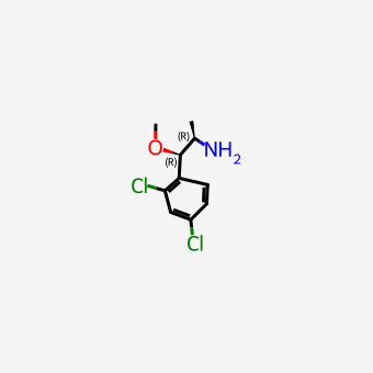 CO[C@H](c1ccc(Cl)cc1Cl)[C@@H](C)N